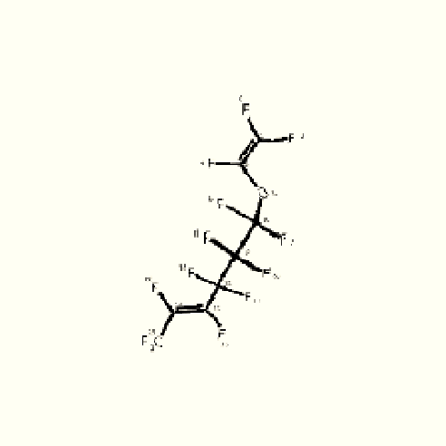 FC(F)=C(F)OC(F)(F)C(F)(F)C(F)(F)C(F)=C(F)C(F)(F)F